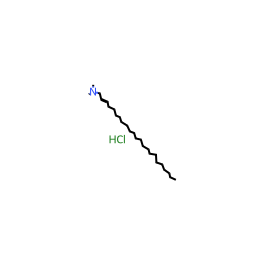 CCCCCCCCCCCCCCCCCCCCC=CCN(C)C.Cl